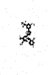 CSc1cc(-c2ccc(-c3cc(C(F)(F)F)c(C#N)c(=O)n3Cc3ccc(F)cc3F)o2)cc(C(F)(F)F)c1